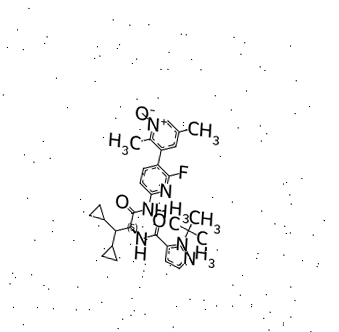 Cc1cc(-c2ccc(NC(=O)[C@@H](NC(=O)c3ccnn3C(C)(C)C)C(C3CC3)C3CC3)nc2F)c(C)[n+]([O-])c1